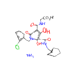 N.O=C(O)CNC(=O)c1c(O)c(C(=O)NC2CCCCC2)c(O)n(Cc2ccccc2Cl)c1=O